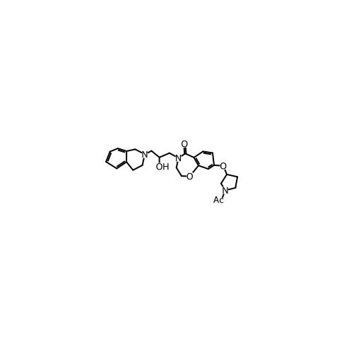 CC(=O)N1CCC(Oc2ccc3c(c2)OCCN(CC(O)CN2CCc4ccccc4C2)C3=O)C1